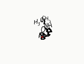 CN(C)CCNC(=O)c1cccc(-c2ccc(-c3ccccc3)n2-c2ccccc2C(F)(F)F)c1